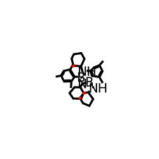 Cc1cc(C)c(B(NC2CCCCC2)N(B(NC2CCCCC2)c2c(C)cc(C)cc2C)C2CCCCC2)c(C)c1